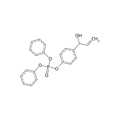 C=CC(O)c1ccc(OP(=O)(Oc2ccccc2)Oc2ccccc2)cc1